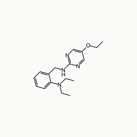 CCOc1cnc(NCc2ccccc2N(CC)CC)nc1